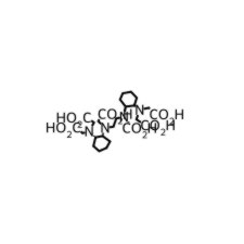 O=C(O)CN(CCN(CC(=O)O)[C@H]1CCCC[C@@H]1N(CC(=O)O)CC(=O)O)C1CCCC[C@H]1N(CC(=O)O)CC(=O)O